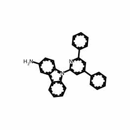 Nc1ccc2c(c1)c1ccccc1n2-c1cc(-c2ccccc2)cc(-c2ccccc2)n1